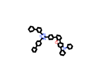 c1ccc(-c2ccc(-c3nc(-c4ccc(-c5cccc6c5oc5cc7c8ccccc8n(-c8ccccc8)c7cc56)cc4)nc(-c4cccc(-c5ccccc5)c4)n3)cc2)cc1